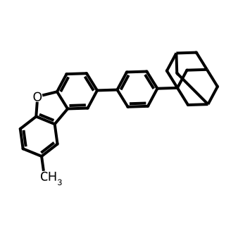 Cc1ccc2oc3ccc(-c4ccc(C56CC7CC(CC(C7)C5)C6)cc4)cc3c2c1